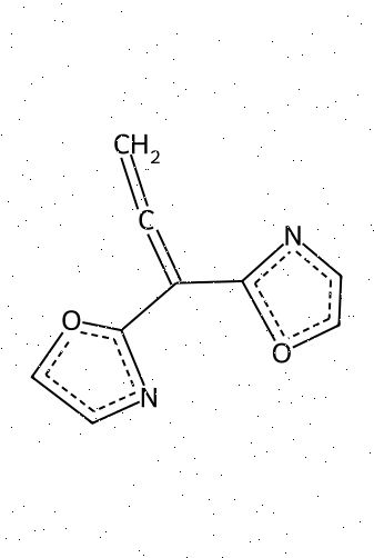 C=C=C(c1ncco1)c1ncco1